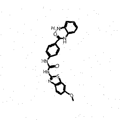 COc1ccc2nc(NC(=O)Nc3ccc(C(=O)Nc4ccccc4N)cc3)sc2c1